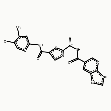 C[C@@H](NC(=O)c1cnc2[nH]cnc2c1)c1ncc(C(=O)Nc2cc(C(F)(F)F)c(Cl)cn2)s1